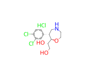 Cl.OC[C@H](O)[C@@H]1OCCNC[C@H]1c1ccc(Cl)c(Cl)c1